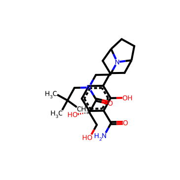 CC(C)(C)CN(CCN1C2CCC1CC(c1cccc(C(N)=O)c1O)C2)C(=O)[C@@H](O)CO